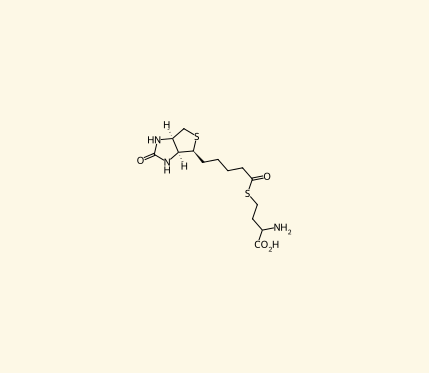 NC(CCSC(=O)CCCC[C@@H]1SC[C@@H]2NC(=O)N[C@@H]21)C(=O)O